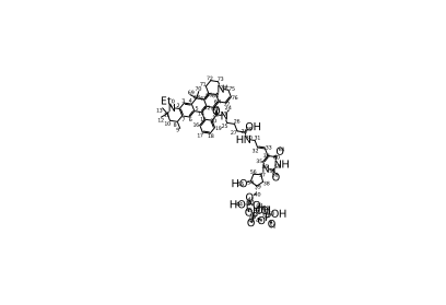 CCN1c2cc3c(cc2C(C)CC1(C)C)C(c1ccccc1C(=O)N(C)CCCC(O)NC/C=C/c1cn([C@@H]2C[C@H](COP(=O)(O)OP(=O)(O)OP(=O)(O)O)[C@@H](O)C2)c(=O)[nH]c1=O)=c1cc2c4c(c1C3(C)C)CCC[N+]=4CC=C2